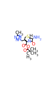 Cc1nnn(CC2=C(C(=O)OC(=O)C(C)(C)C)N3C(=O)[C@@H](N)[C@H]3SC2)n1